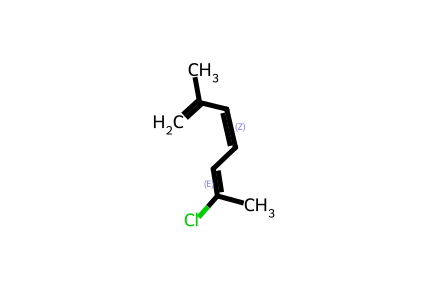 C=C(C)/C=C\C=C(/C)Cl